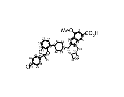 COc1cc(C(=O)O)cc2c1nc(CN1CCC(c3cccc4c3OC(C)(c3ccc(Cl)cn3)O4)CC1)n2C[C@@H]1CCO1